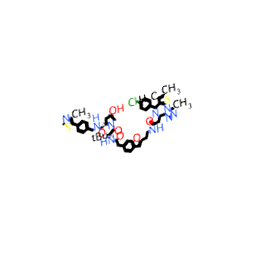 Cc1ncsc1-c1ccc(CNC(=O)[C@@H]2C[C@@H](O)CN2C(=O)[C@@H](NC(=O)Cc2ccc3cc(CCNC(=O)CC4N=C(c5ccc(Cl)cc5)c5c(sc(C)c5C)-n5c(C)nnc54)oc3c2)C(C)(C)C)cc1